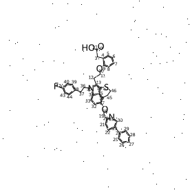 O=C(O)Cc1ccccc1OCCc1c2c3c(c(OCc4ccc(-c5ccccc5)cn4)ccc3n1CCc1ccc(F)cc1)CCS2